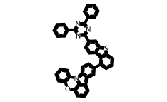 c1ccc(-c2nc(-c3ccccc3)nc(-c3ccc4c(c3)sc3cccc(-c5ccc6c(c5)c5cccc7c5n6-c5ccccc5O7)c34)n2)cc1